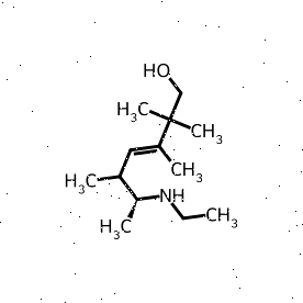 CCN[C@@H](C)C(C)/C=C(\C)C(C)(C)CO